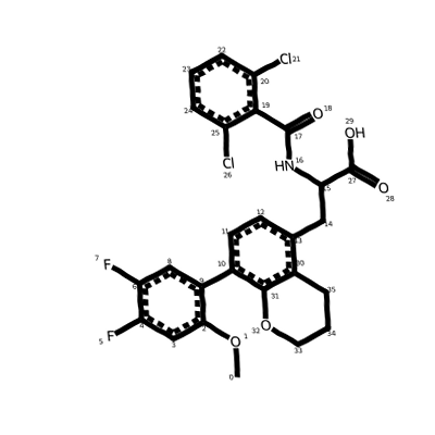 COc1cc(F)c(F)cc1-c1ccc(CC(NC(=O)c2c(Cl)cccc2Cl)C(=O)O)c2c1OCCC2